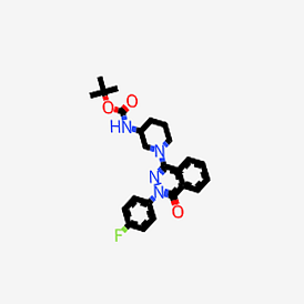 CC(C)(C)OC(=O)NC1CCCN(c2nn(-c3ccc(F)cc3)c(=O)c3ccccc23)C1